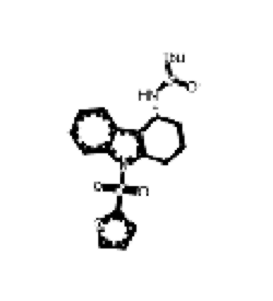 CC(C)(C)[S+]([O-])N[C@@H]1CCCc2c1c1ccccc1n2S(=O)(=O)c1cccs1